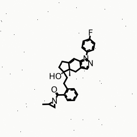 CC1CN1C(=O)c1ccccc1CC[C@]1(O)CCC2=Cc3c(cnn3-c3ccc(F)cc3)C[C@@]21C